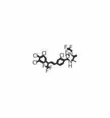 C=C(NCC(F)(F)F)[C@@H](C)NC(=O)c1ccc(/C=C/C(c2cc(Cl)c(Cl)c(Cl)c2)C(F)(F)F)cc1Cl